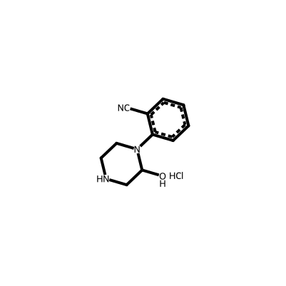 Cl.N#Cc1ccccc1N1CCNCC1O